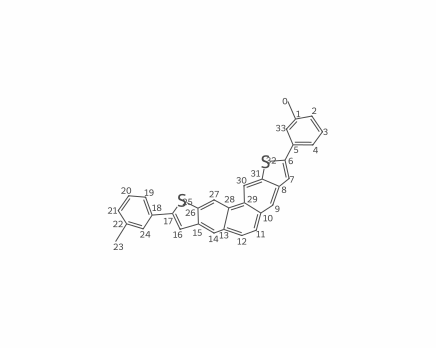 Cc1cccc(-c2cc3cc4ccc5cc6cc(-c7cccc(C)c7)sc6cc5c4cc3s2)c1